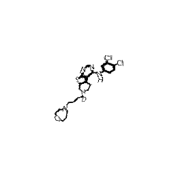 O=C(C=CCN1CCCOCC1)N1CCc2c(sc3ncnc(Nc4ccc(Cl)c(Cl)c4)c23)C1